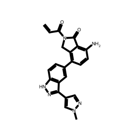 C=CC(=O)N1Cc2c(-c3ccc4[nH]nc(-c5cnn(C)c5)c4c3)ccc(N)c2C1=O